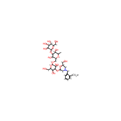 CC1OC(COC2OC(CO)C(O)C(OC3CN(Cc4ccccc4C(=O)O)CC(CO)O3)C2O)C(O)C(OC2OC(CO)C(O)C(O)C2O)C1O